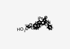 CC(C)C1=C2C3CC[C@H]4C(C)(CC[C@H]5C(C)(C)[C@@H](OC(=O)CC(C)(C)C(=O)O)CC[C@@]54C)[C@]3(C)CC[C@@]2(c2nnc(-c3ccncc3)o2)CC1=O